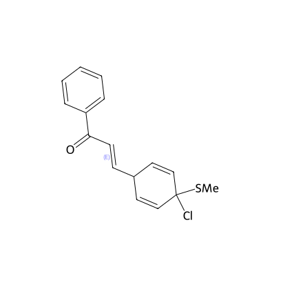 CSC1(Cl)C=CC(/C=C/C(=O)c2ccccc2)C=C1